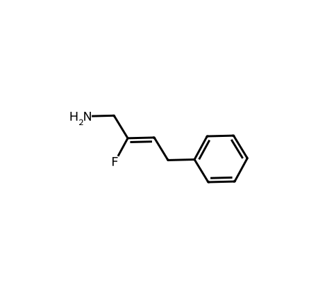 NCC(F)=CCc1ccccc1